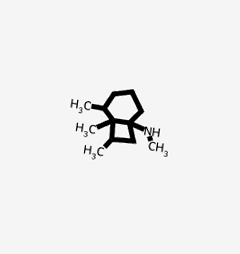 CNC12CCCC(C)C1(C)C(C)C2